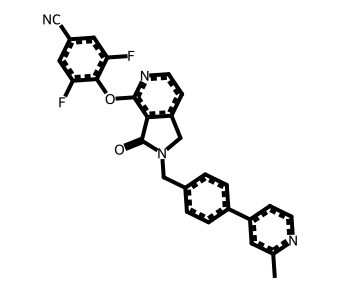 Cc1cc(-c2ccc(CN3Cc4ccnc(Oc5c(F)cc(C#N)cc5F)c4C3=O)cc2)ccn1